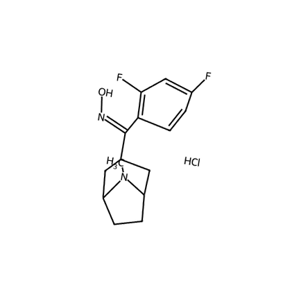 CN1C2CCC1CC(C(=NO)c1ccc(F)cc1F)C2.Cl